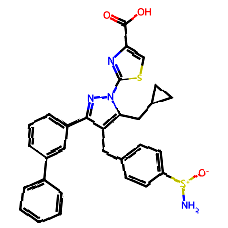 N[S+]([O-])c1ccc(Cc2c(-c3cccc(-c4ccccc4)c3)nn(-c3nc(C(=O)O)cs3)c2CC2CC2)cc1